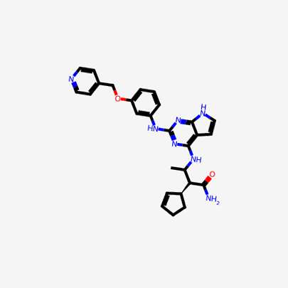 CC(Nc1nc(Nc2cccc(OCc3ccncc3)c2)nc2[nH]ccc12)C(C(N)=O)[C@@H]1C=CCC1